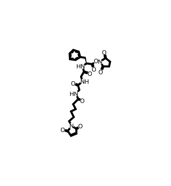 O=C(CCCCCN1C(=O)C=CC1=O)NCC(=O)NCC(=O)N[C@@H](Cc1ccccc1)C(=O)ON1C(=O)CCC1=O